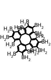 Bc1cc2c(c(B)c1B)-c1c(B)c(B)c(B)c(B)c1-c1c(B)c(B)c(B)c(B)c1-c1c(B)c(B)c(B)c(B)c1-2